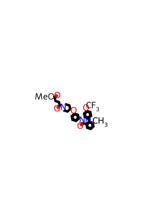 COC(=O)CCC(=O)N1CCC(Oc2cccc(NC(=O)c3cccc(C)c3-c3ccc(OC(F)(F)F)cc3)c2)CC1